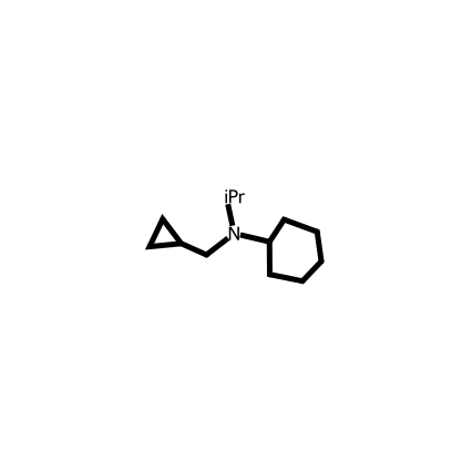 CC(C)N(CC1CC1)C1CCCCC1